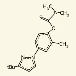 Cc1cc(-n2ccc(C(C)(C)C)n2)ccc1OC(=S)N(C)C